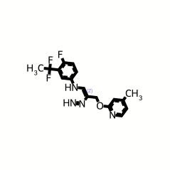 Cc1ccnc(OC/C(=C/Nc2ccc(F)c(C(C)(F)F)c2)N=N)c1